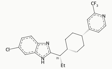 CC[C@H](c1nc2ccc(Cl)cc2[nH]1)[C@H]1CC[C@@H](c2ccnc(C(F)(F)F)c2)CC1